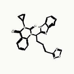 O=c1c2ccccc2n(C(CCCc2ncon2)c2nc3ccccc3[nH]2)c(=O)n1C1CC1